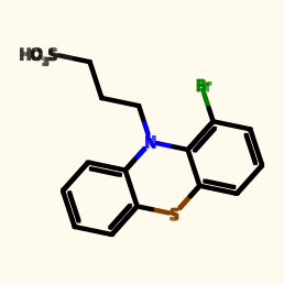 O=S(=O)(O)CCCN1c2ccccc2Sc2cccc(Br)c21